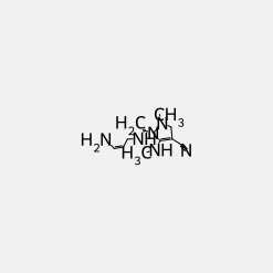 C=C(NC/C=C\N)N1C(NC)=C(C#N)CN1C